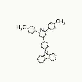 Cc1ccc(-c2cc(-c3ccc(-n4c5ccccc5c5ccccc54)cc3)cc(-c3ccc(C)cc3)n2)cc1